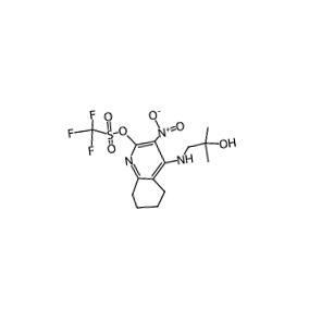 CC(C)(O)CNc1c2c(nc(OS(=O)(=O)C(F)(F)F)c1[N+](=O)[O-])CCCC2